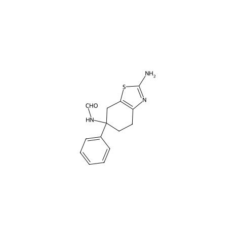 Nc1nc2c(s1)CC(NC=O)(c1ccccc1)CC2